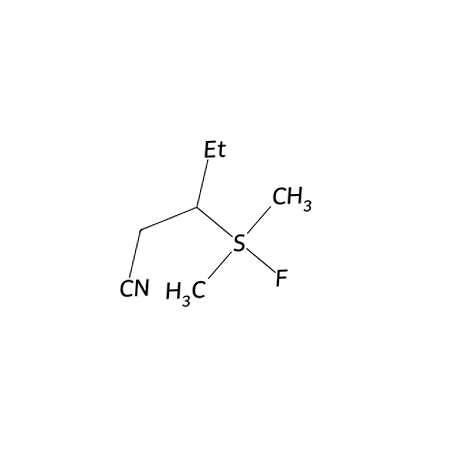 CCC(CC#N)S(C)(C)F